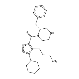 CCCCc1c(C(=O)N2CCNC[C@H]2Cc2ccccc2)ncn1C1CCCCC1